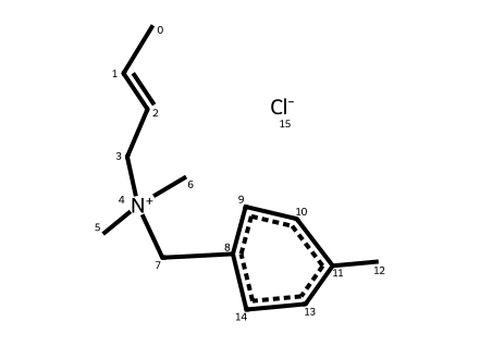 CC=CC[N+](C)(C)Cc1ccc(C)cc1.[Cl-]